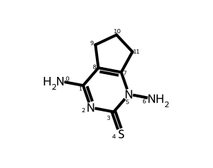 Nc1nc(=S)n(N)c2c1CCC2